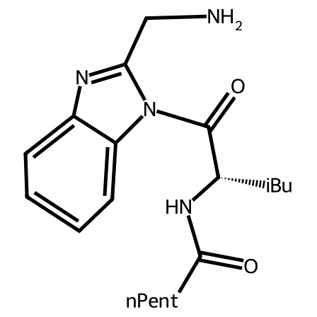 CCCCCC(=O)N[C@H](C(=O)n1c(CN)nc2ccccc21)C(C)CC